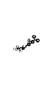 [C-]#[N+]/C(=C\c1ccc(/C=C/c2ccc3c(c2)C(CC)(CC)c2cc(N(c4ccccc4)c4ccccc4)ccc2-3)o1)C(=O)O